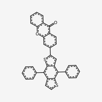 O=c1c2ccccc2oc2cc(-c3cc4c(-c5ccccc5)c5sccc5c(-c5ccccc5)c4s3)ccc12